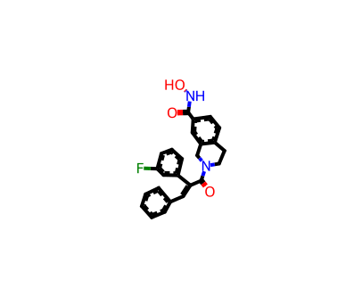 O=C(NO)c1ccc2c(c1)CN(C(=O)C(=Cc1ccccc1)c1cccc(F)c1)CC2